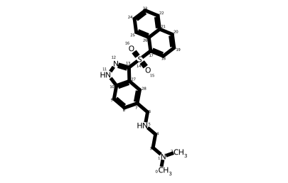 CN(C)CCNCc1ccc2[nH]nc(S(=O)(=O)c3cccc4ccccc34)c2c1